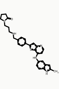 Cc1cc2cc(Nc3ccnc4cc(-c5ccc(CNCCCN6CCCC6=O)cc5)sc34)ccc2[nH]1